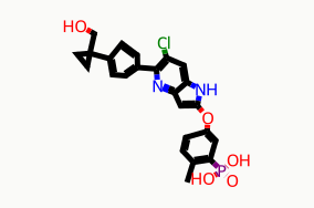 Cc1ccc(Oc2cc3nc(-c4ccc(C5(CO)CC5)cc4)c(Cl)cc3[nH]2)cc1P(=O)(O)O